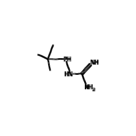 CC(C)(C)PNC(=N)N